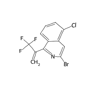 C=C(c1nc(Br)cc2c(Cl)cccc12)C(F)(F)F